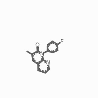 Cc1cc2cccnc2n(-c2ccc(F)cc2)c1=O